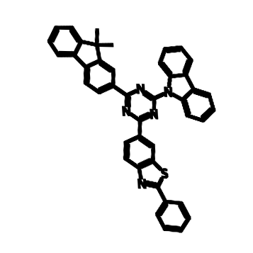 CC1(C)c2ccccc2-c2ccc(-c3nc(-c4ccc5nc(-c6ccccc6)sc5c4)nc(-n4c5ccccc5c5ccccc54)n3)cc21